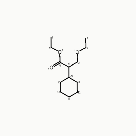 CCOCC(C(=O)OCC)C1CCCCC1